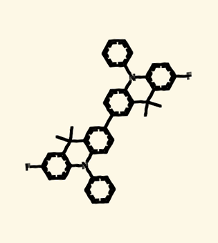 CC1(C)c2cc(F)ccc2N(c2ccccc2)c2ccc(-c3ccc4c(c3)C(C)(C)c3cc(F)ccc3N4c3ccccc3)cc21